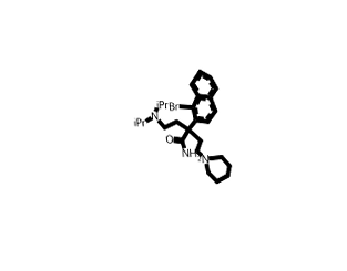 CC(C)N(CCC(CCN1CCCCC1)(C(N)=O)c1ccc2ccccc2c1Br)C(C)C